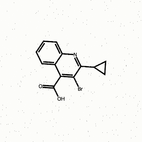 O=C(O)c1c(Br)c(C2CC2)nc2ccccc12